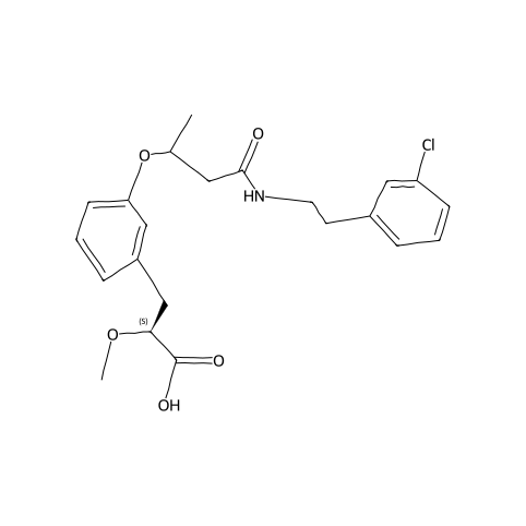 CO[C@@H](Cc1cccc(OC(C)CC(=O)NCCc2cccc(Cl)c2)c1)C(=O)O